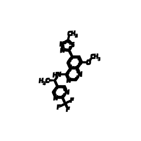 COc1cc(-c2nnc(C)s2)cc2c(N[C@H](C)c3cnc(C(F)(F)F)nc3)ncnc12